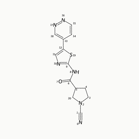 N#CN1CCC(C(=O)Nc2ncc(-c3ccnnc3)s2)C1